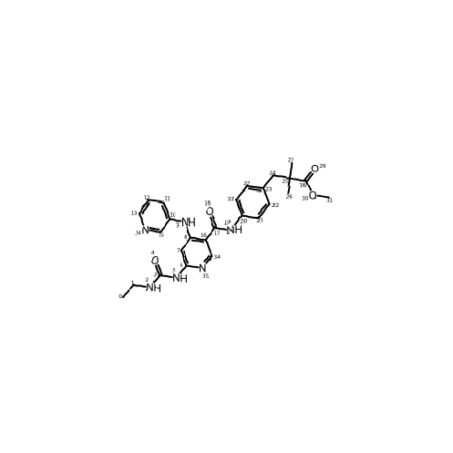 CCNC(=O)Nc1cc(Nc2cccnc2)c(C(=O)Nc2ccc(CC(C)(C)C(=O)OC)cc2)cn1